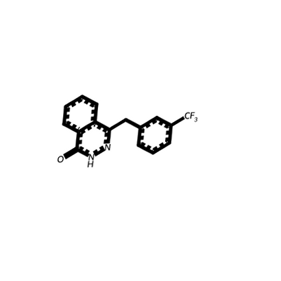 O=c1[nH]nc(Cc2cccc(C(F)(F)F)c2)c2ccccc12